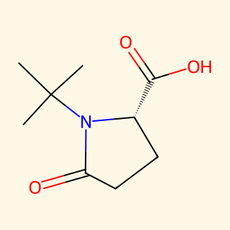 CC(C)(C)N1C(=O)CC[C@H]1C(=O)O